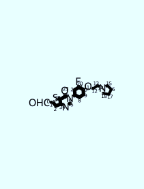 O=Cc1cc2ncn(-c3ccc(OCCN4CCCC4)c(F)c3)c(=O)c2s1